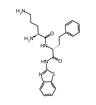 NCCC[C@H](N)C(=O)N[C@H](CCc1ccccc1)C(=O)Nc1nc2ccccc2s1